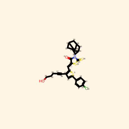 O=C1/C(=C/c2sc(-c3ccc(Cl)cc3)cc2C#CCCCO)SC(=S)N1C1C2CC3CC(C2)CC1C3